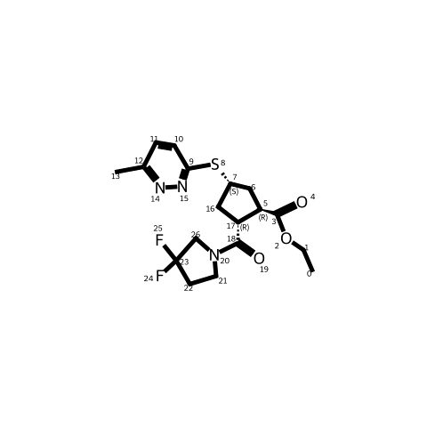 CCOC(=O)[C@@H]1C[C@@H](Sc2ccc(C)nn2)C[C@H]1C(=O)N1CCC(F)(F)C1